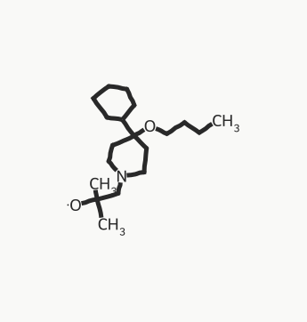 CCCCOC1(C2CCCCC2)CCN(CC(C)(C)[O])CC1